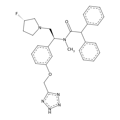 CN(C(=O)C(c1ccccc1)c1ccccc1)[C@H](CN1CC[C@H](F)C1)c1cccc(OCc2nn[nH]n2)c1